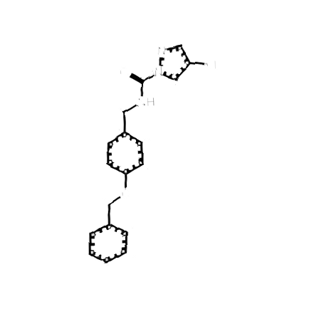 Cc1cnn(C(=O)NCc2ccc(OCc3ccccc3)cc2)c1